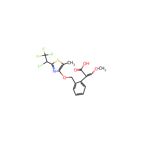 COC=C(C(=O)O)c1ccccc1COc1nc(C(F)C(F)(F)F)sc1C